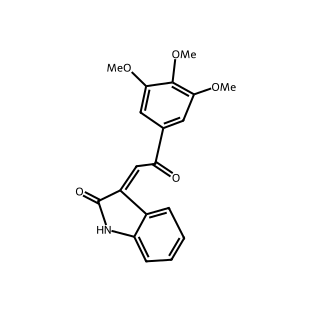 COc1cc(C(=O)/C=C2/C(=O)Nc3ccccc32)cc(OC)c1OC